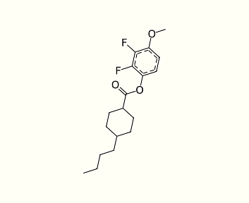 CCCCC1CCC(C(=O)Oc2ccc(OC)c(F)c2F)CC1